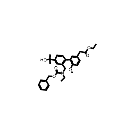 CCOC(=O)Cc1ccc(OC)c(-c2ccc(C(C)(C)O)cc2CN(CC)C(=O)OCc2ccccc2)c1